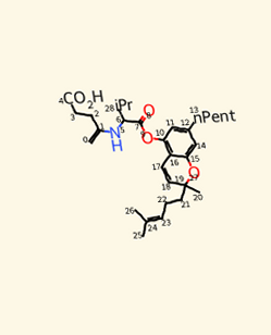 C=C(CCC(=O)O)NC(C(=O)Oc1cc(CCCCC)cc2c1C=CC(C)(CCC=C(C)C)O2)C(C)C